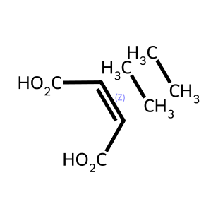 CC.CC.O=C(O)/C=C\C(=O)O